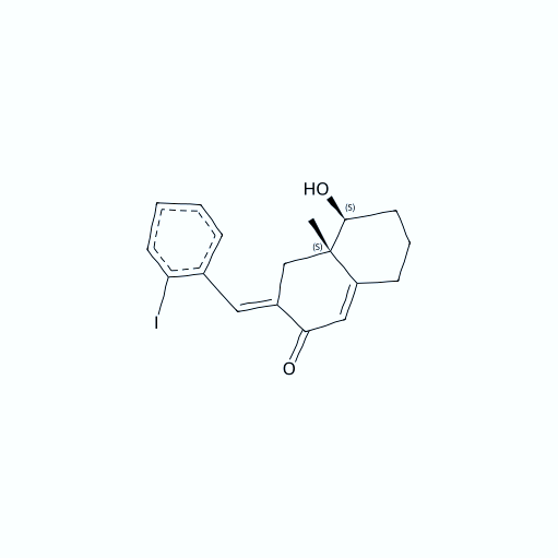 C[C@]12CC(=Cc3ccccc3I)C(=O)C=C1CCC[C@@H]2O